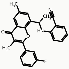 Cc1cc([C@@H](C)Nc2ccccc2C#N)c2oc(-c3cccc(F)c3)c(C)c(=O)c2c1